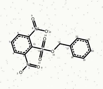 O=[N+]([O-])c1cccc([N+](=O)[O-])c1S(=O)(=O)OCc1ccccc1